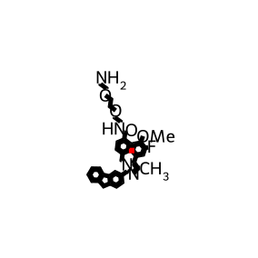 COc1ccc(-c2c(C)nc(-c3ccc4c(c3)-c3ccccc3C4)n2Cc2ccc(C(=O)NCCOCCOCCN)cc2)cc1F